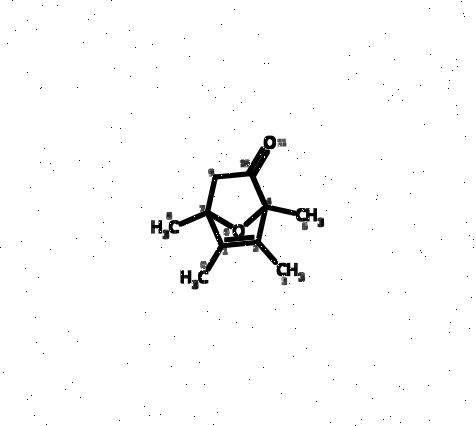 CC1=C(C)C2(C)OC1(C)CC2=O